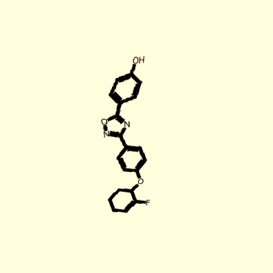 Oc1ccc(-c2nc(-c3ccc(OC4CCCC=C4F)cc3)no2)cc1